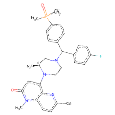 C[C@H]1CN(C(c2ccc(F)cc2)c2ccc(P(C)(C)=O)cc2)CCN1c1cc(=O)n(C)c2ccc(C#N)nc12